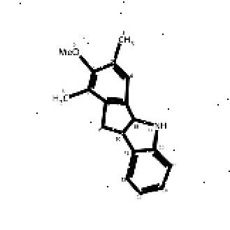 COc1c(C)cc2c(c1C)CC1c3ccccc3NC21